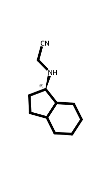 N#CCN[C@@H]1CCC2CCCCC21